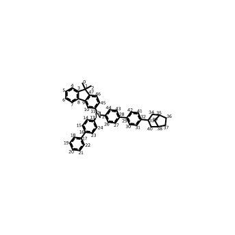 CC1(C)c2ccccc2-c2cc(N(c3ccc(-c4ccccc4)cc3)c3ccc(-c4ccc(C5CC6CCC(C6)C5)cc4)cc3)ccc21